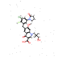 COc1cc2c(cc1Cc1cc(N3CCCC3=O)cc(Cl)c1F)c(=O)c(C(=O)O)cn2CC(C)(C)CO